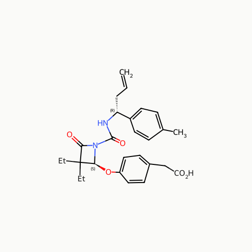 C=CC[C@@H](NC(=O)N1C(=O)C(CC)(CC)[C@@H]1Oc1ccc(CC(=O)O)cc1)c1ccc(C)cc1